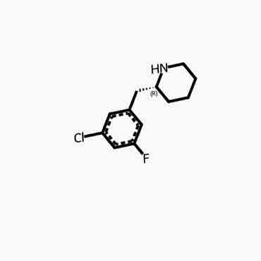 Fc1cc(Cl)cc(C[C@H]2CCCCN2)c1